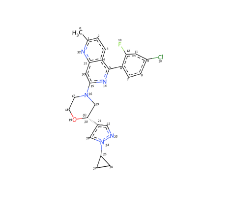 Cc1ccc2c(-c3ccc(Cl)cc3F)nc(N3CCO[C@@H](c4cnn(C5CC5)c4)C3)cc2n1